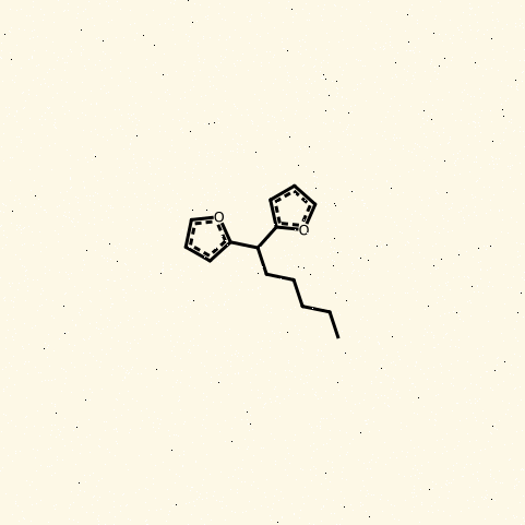 CCCCCC(c1ccco1)c1ccco1